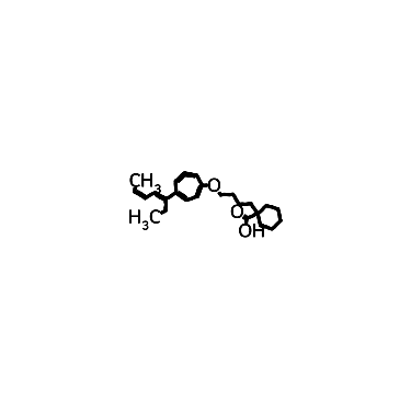 C/C=C\C=C(/CC)C1=CC=C(OCCCCC2(C(=O)O)CCCCC2)C=C=C1